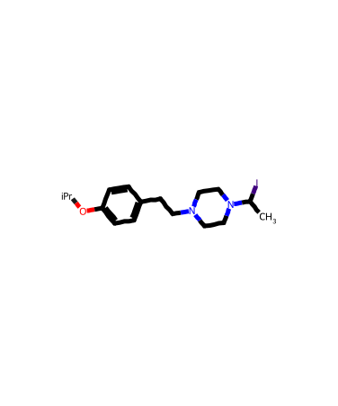 CC(C)Oc1ccc(CCN2CCN(C(C)I)CC2)cc1